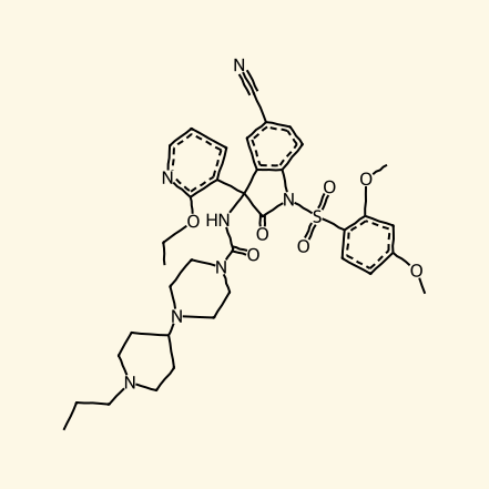 CCCN1CCC(N2CCN(C(=O)NC3(c4cccnc4OCC)C(=O)N(S(=O)(=O)c4ccc(OC)cc4OC)c4ccc(C#N)cc43)CC2)CC1